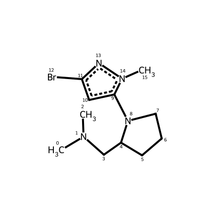 CN(C)CC1CCCN1c1cc(Br)nn1C